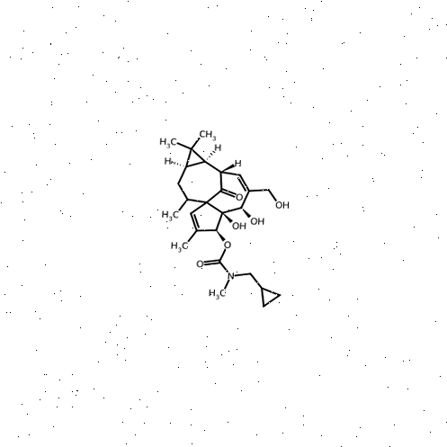 CC1=CC23C(=O)[C@@H](C=C(CO)[C@@H](O)[C@]2(O)[C@H]1OC(=O)N(C)CC1CC1)[C@H]1[C@@H](CC3C)C1(C)C